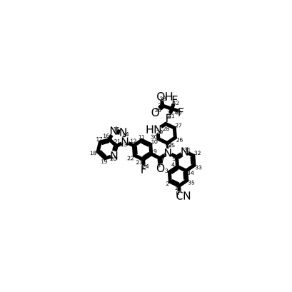 N#Cc1ccc2c(N(C(=O)c3ccc(-n4nnc5cccnc54)cc3F)[C@@H]3CCCNC3)nccc2c1.O=C(O)C(F)(F)F